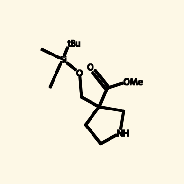 COC(=O)C1(CO[Si](C)(C)C(C)(C)C)CCNC1